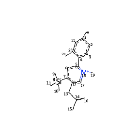 Cc1ccc(-c2cc([Si](C)(C)C)c(CC(C)C)c[n+]2C)c(C)c1